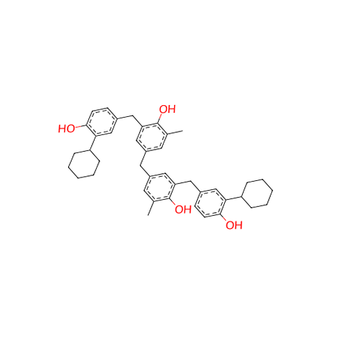 Cc1cc(Cc2cc(C)c(O)c(Cc3ccc(O)c(C4CCCCC4)c3)c2)cc(Cc2ccc(O)c(C3CCCCC3)c2)c1O